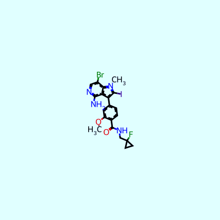 COc1cc(-c2c(I)n(C)c3c(Br)cnc(N)c23)ccc1C(=O)NCC1(F)CC1